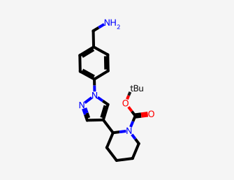 CC(C)(C)OC(=O)N1CCCCC1c1cnn(-c2ccc(CN)cc2)c1